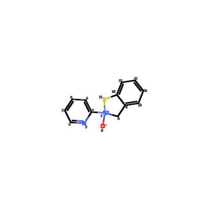 [O-][N+]1(c2ccccn2)Cc2ccccc2S1